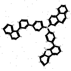 c1cc(-c2ccc(N(c3ccc(-c4cccc5c4sc4ccccc45)cc3)c3ccc4c(ccc5ccccc54)c3)cc2)cc(-c2cccc3ccccc23)c1